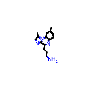 Cc1ccc2nc(CCCN)c3ncc(C)n3c2c1